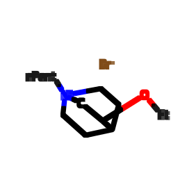 CCCCC[N+]12CCC(CC1)C(OCC)C2.[Br-]